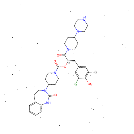 CCc1cc(C[C@@H](OC(=O)N2CCC(N3CCc4ccccc4NC3=O)CC2)C(=O)N2CCC(N3CCNCC3)CC2)cc(Br)c1O